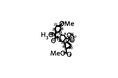 COC(=O)c1ccc(C2(C3CCN(C(=O)N(C)c4ccc(OC)cc4)CC3)OCCO2)cc1